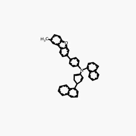 Cc1ccc2oc3cc(-c4ccc(N(C5=CCC(c6cccc7ccccc67)C=C5)c5cccc6ccccc56)cc4)ccc3c2c1